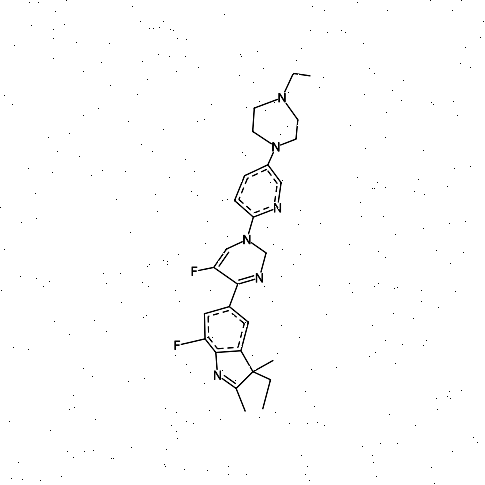 CCN1CCN(c2ccc(N3C=C(F)C(c4cc(F)c5c(c4)C(C)(CC)C(C)=N5)=NC3)nc2)CC1